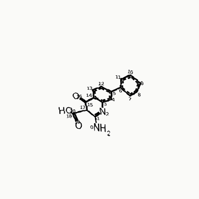 NC1=Nc2cc(-c3ccccc3)ccc2C(=O)C1C(=O)O